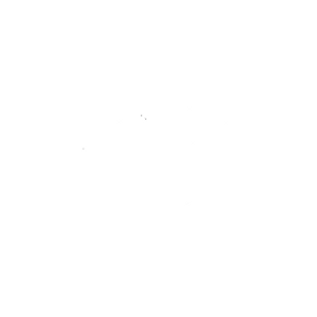 CC(C)(C)OC(=O)N1CCc2cccc(-c3ccccc3)c2C1